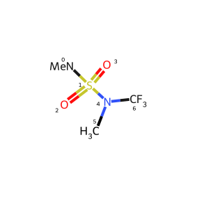 CNS(=O)(=O)N(C)C(F)(F)F